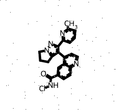 Cc1cccc(-c2nn3c(c2-c2ccnc4ccc(C(=O)NCl)cc24)CCC3)n1